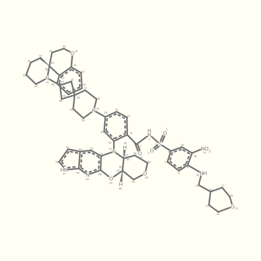 O=C(NS(=O)(=O)c1ccc(NCC2CCOCC2)c([N+](=O)[O-])c1)c1ccc(N2CCC3(CC2)CC(N2CCCC[C@]24CCOc2ccccc24)C3)cc1N1c2cc3cc[nH]c3nc2O[C@H]2COCC[C@H]21